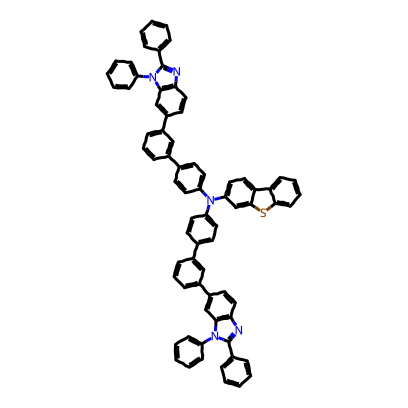 c1ccc(-c2nc3ccc(-c4cccc(-c5ccc(N(c6ccc(-c7cccc(-c8ccc9nc(-c%10ccccc%10)n(-c%10ccccc%10)c9c8)c7)cc6)c6ccc7c(c6)sc6ccccc67)cc5)c4)cc3n2-c2ccccc2)cc1